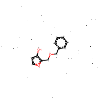 Oc1ccoc1COCc1ccccc1